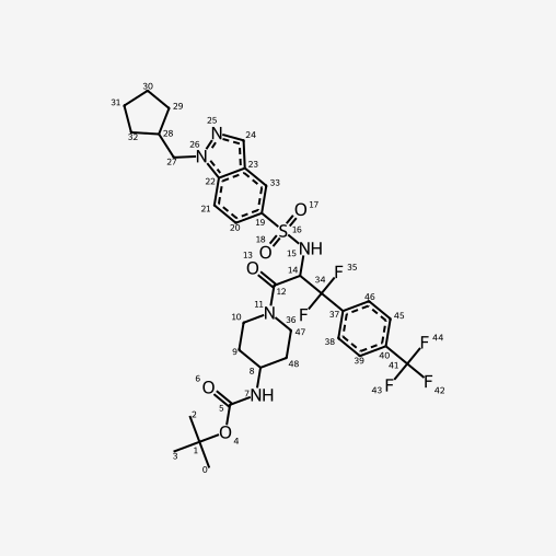 CC(C)(C)OC(=O)NC1CCN(C(=O)C(NS(=O)(=O)c2ccc3c(cnn3CC3CCCC3)c2)C(F)(F)c2ccc(C(F)(F)F)cc2)CC1